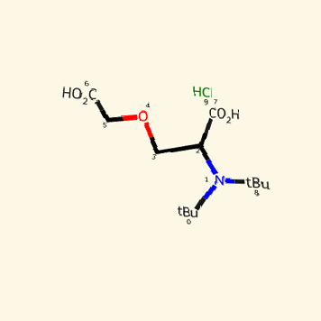 CC(C)(C)N(C(COCC(=O)O)C(=O)O)C(C)(C)C.Cl